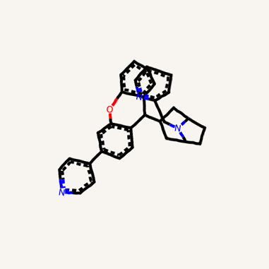 c1ccc(CN2C3CCC2CC(C2c4ccccc4Oc4cc(-c5ccncc5)ccc42)C3)nc1